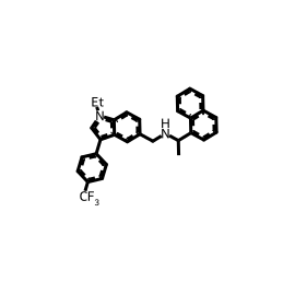 CCn1cc(-c2ccc(C(F)(F)F)cc2)c2cc(CNC(C)c3cccc4ccccc34)ccc21